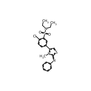 CCN(CC)S(=O)(=O)c1cc(-c2csc(=Nc3ccccc3)n2C)ccc1Cl